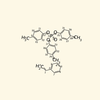 C=Cc1ccccc1.Cc1ccc(OP(=O)(Oc2ccc(C)cc2)Oc2ccc(C)cc2)cc1